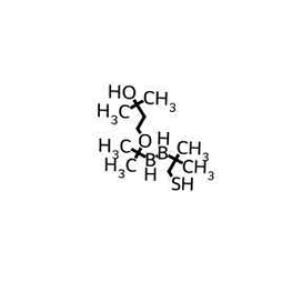 CC(C)(O)CCOC(C)(C)BBC(C)(C)CS